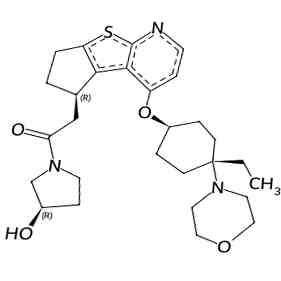 CC[C@]1(N2CCOCC2)CC[C@H](Oc2ccnc3sc4c(c23)[C@@H](CC(=O)N2CC[C@@H](O)C2)CC4)CC1